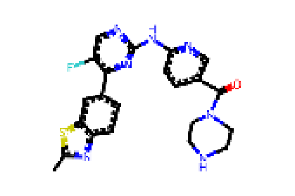 Cc1nc2ccc(-c3nc(Nc4ccc(C(=O)N5CCNCC5)cn4)ncc3F)cc2s1